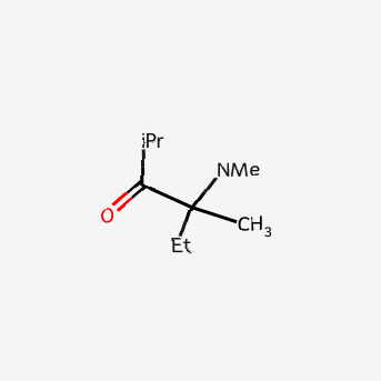 CCC(C)(NC)C(=O)C(C)C